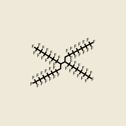 FC(F)(F)C(F)(F)C(F)(F)C(F)(F)C(F)(F)C(F)(F)CC(C(CC(F)(F)C(F)(F)C(F)(F)C(F)(F)C(F)(F)C(F)(F)F)C(F)(F)C(F)(F)C(F)(F)C(F)(F)C(F)(F)C(F)(F)F)C(F)(F)C(F)(F)C(F)(F)C(F)(F)C(F)(F)C(F)(F)F